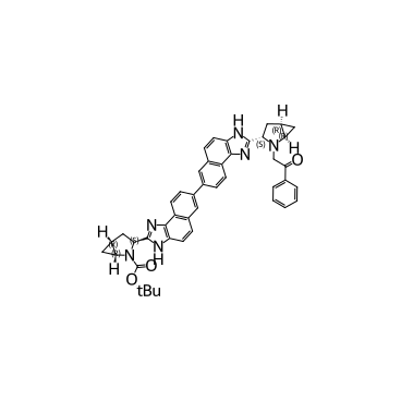 CC(C)(C)OC(=O)N1[C@@H]2C[C@@H]2C[C@H]1c1nc2c(ccc3cc(-c4ccc5c(ccc6[nH]c([C@@H]7C[C@H]8C[C@H]8N7CC(=O)c7ccccc7)nc65)c4)ccc32)[nH]1